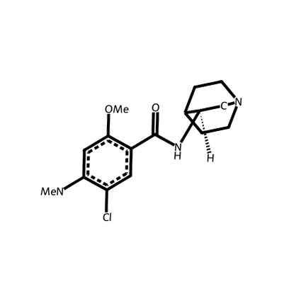 CNc1cc(OC)c(C(=O)N[C@@H]2CN3CCC2CC3)cc1Cl